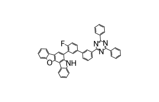 Fc1ccc(-c2cccc(-c3nc(-c4ccccc4)nc(-c4ccccc4)n3)c2)cc1-c1cc2c3ccccc3oc2c2c1[nH]c1ccccc12